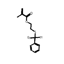 C=C(C)C(=O)OCCSC(CC)(CC)c1ccccc1